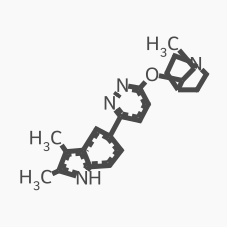 Cc1[nH]c2ccc(-c3ccc(OC4C5CCN(CC5)C4C)nn3)cc2c1C